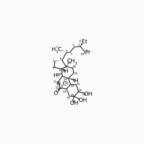 CC[C@H](CC[C@@H](C)[C@H]1CC[C@H]2[C@@H]3CC(=O)C4CC(O)(O)C(O)C[C@]4(C)[C@H]3CC[C@]12C)C(C)C